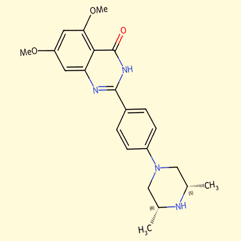 COc1cc(OC)c2c(=O)[nH]c(-c3ccc(N4C[C@@H](C)N[C@@H](C)C4)cc3)nc2c1